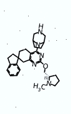 CN1CCC[C@H]1COc1nc2c(c(N3C4CCC3CNC4)n1)CCC1(CCc3ccccc31)C2